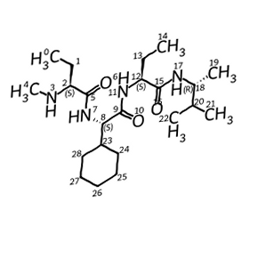 CC[C@H](NC)C(=O)N[C@H](C(=O)N[C@@H](CC)C(=O)N[C@H](C)C(C)C)C1CCCCC1